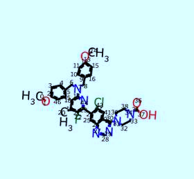 COc1ccc(CN(Cc2ccc(OC)cc2)c2cc(C)c(F)c(-c3cc4ncnc(N5CCN(C(=O)O)CC5)c4cc3Cl)n2)cc1